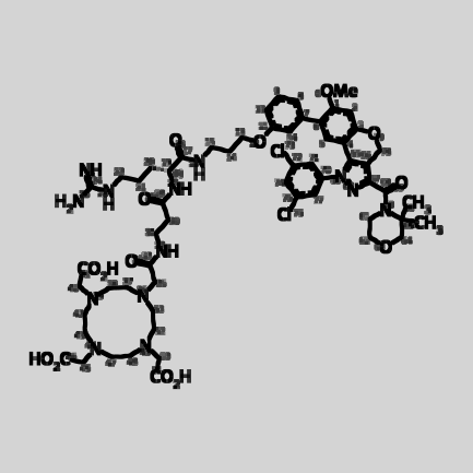 COc1cc2c(cc1-c1cccc(OCCCNC(=O)[C@@H](CCCNC(=N)N)NC(=O)CCNC(=O)CN3CCN(CC(=O)O)CCN(CC(=O)O)CCN(CC(=O)O)CC3)c1)-c1c(c(C(=O)N3CCOCC3(C)C)nn1-c1cc(Cl)cc(Cl)c1)CO2